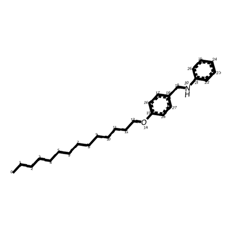 CCCCCCCCCCCCCCOc1ccc(CNc2ccccc2)cc1